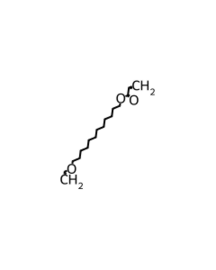 C=COCCCCCCCCCCCCOC(=O)C=C